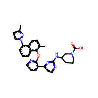 Cc1ccn(-c2cccc3c(Oc4ncccc4-c4ccnc(NC5CCCN(C(=O)O)C5)n4)c(C)ccc23)n1